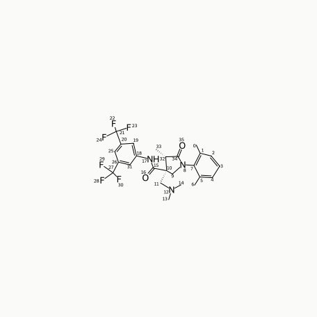 Cc1cccc(C)c1N1C[C@@](CN(C)C)(C(=O)Nc2cc(C(F)(F)F)cc(C(F)(F)F)c2)[C@H](C)C1=O